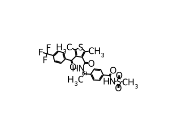 Cc1sc(C)c(C(=O)c2ccc(C(F)(F)F)cc2)c1C(=O)N[C@@H](C)c1ccc(C(=O)NS(C)(=O)=O)cc1